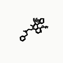 CC1=C(C(=O)O)C(c2ccccc2C(F)(F)F)c2c(ccnc2OC(C)C)N1CCN(C)Cc1ccccc1